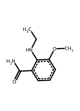 CCNc1c(OC)cccc1C(N)=O